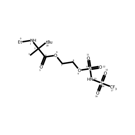 CCNC(C)(C(=O)OCCOS(=O)(=O)NS(=O)(=O)C(F)(F)F)C(C)(C)C